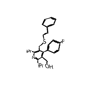 CC(C)c1nc(C(C)C)c(CSCCc2ccccc2)c(-c2ccc(F)cc2)c1CO